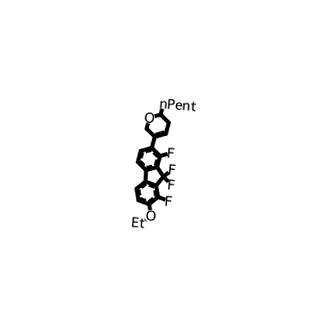 CCCCCC1CC=C(c2ccc3c(c2F)C(F)(F)c2c-3ccc(OCC)c2F)CO1